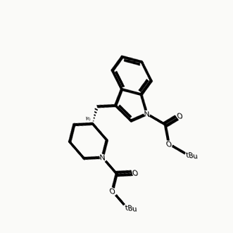 CC(C)(C)OC(=O)N1CCC[C@H](Cc2cn(C(=O)OC(C)(C)C)c3ccccc23)C1